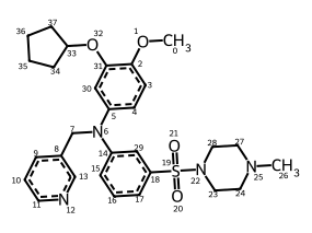 COc1ccc(N(Cc2cccnc2)c2cccc(S(=O)(=O)N3CCN(C)CC3)c2)cc1OC1CCCC1